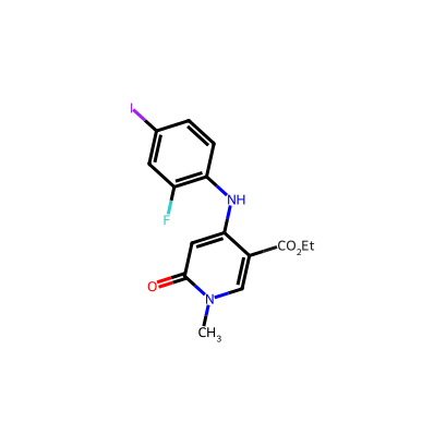 CCOC(=O)c1cn(C)c(=O)cc1Nc1ccc(I)cc1F